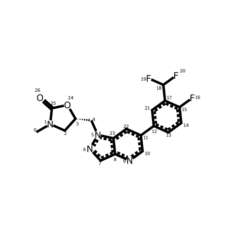 CN1C[C@@H](Cn2ncc3ncc(-c4ccc(F)c(C(F)F)c4)cc32)OC1=O